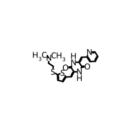 CN(C)CCSc1ccc(C=c2[nH]c(=O)c(=Cc3ccccn3)[nH]c2=O)s1